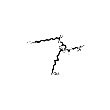 CCCCCCCCC=CCCCCCCCC(=O)OCC(CNC(=O)OCCN(CCC)CCC)OC(=O)CCCCCCCC=CCCCCCCCC